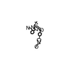 COCCN1CCC(c2ccc(C(=O)N3CCN(CC(C)(C)C)c4nc(C#N)c5ccccc5c4C3)cc2)CC1